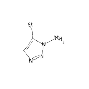 CCc1cnnn1N